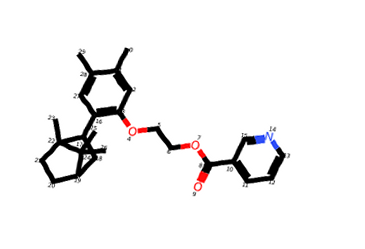 Cc1cc(OCCOC(=O)c2cccnc2)c(C2CC3CCC2(C)C3(C)C)cc1C